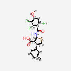 COc1cc(F)c(C(=O)Nc2scc(-c3cccc(C)c3)c2C(=O)O)c(F)c1F